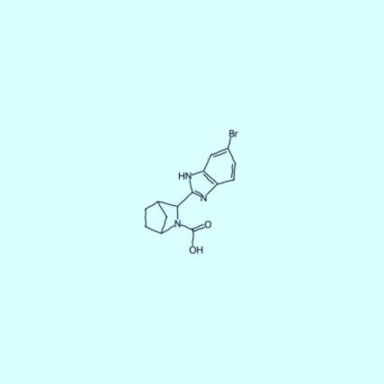 O=C(O)N1C2CCC(C2)C1c1nc2ccc(Br)cc2[nH]1